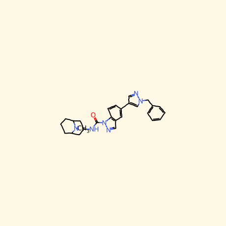 CN1C2CCCC1CC(NC(=O)n1ncc3cc(-c4cnn(Cc5ccccc5)c4)ccc31)C2